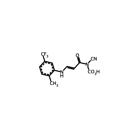 Cc1ccc(C(F)(F)F)cc1NC=CC(=O)N(C#N)C(=O)O